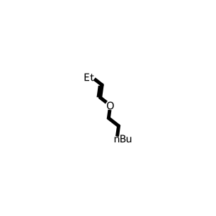 CCC=COCCCCCC